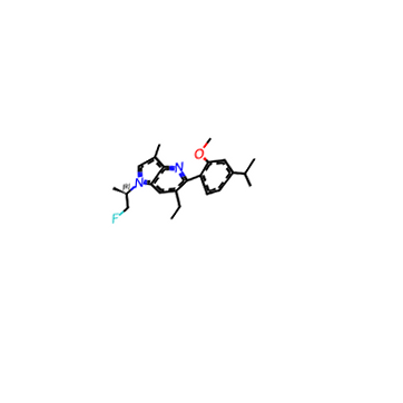 CCc1cc2c(nc1-c1ccc(C(C)C)cc1OC)c(C)cn2[C@H](C)CF